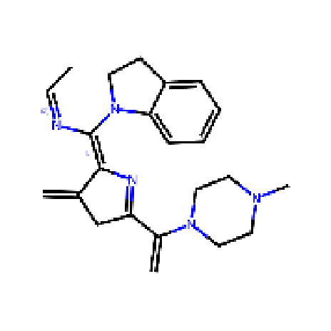 C=C1CC(C(=C)N2CCN(C)CC2)=N/C1=C(/N=C\C)N1CCc2ccccc21